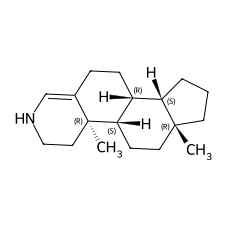 C[C@]12CCC[C@H]1[C@H]1CCC3=CNCC[C@]3(C)[C@H]1CC2